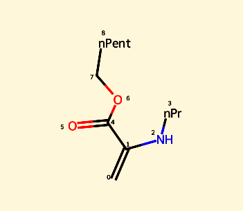 C=C(NCCC)C(=O)OCCCCCC